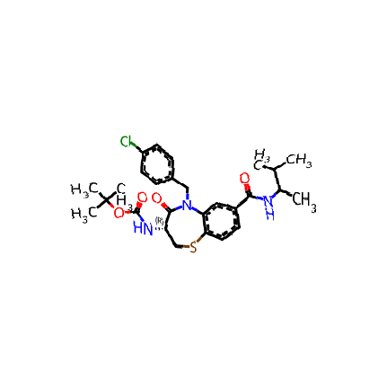 CC(C)C(C)NC(=O)c1ccc2c(c1)N(Cc1ccc(Cl)cc1)C(=O)[C@@H](NC(=O)OC(C)(C)C)CS2